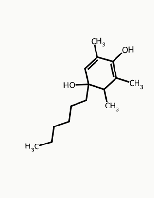 CCCCCCC1(O)C=C(C)C(O)=C(C)C1C